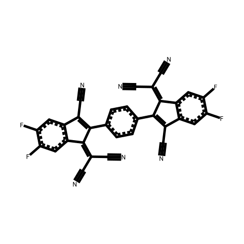 N#CC(C#N)=C1C(c2ccc(C3=C(C#N)c4cc(F)c(F)cc4C3=C(C#N)C#N)cc2)=C(C#N)c2cc(F)c(F)cc21